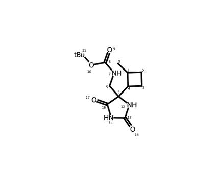 CC1CCC1C1(CNC(=O)OC(C)(C)C)NC(=O)NC1=O